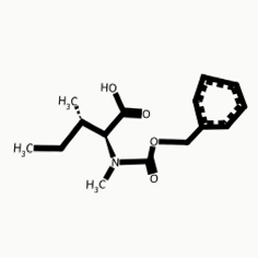 CC[C@H](C)[C@@H](C(=O)O)N(C)C(=O)OCc1ccccc1